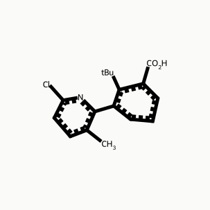 Cc1ccc(Cl)nc1-c1cccc(C(=O)O)c1C(C)(C)C